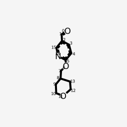 O=Cc1ccc(OCC2CCOCC2)nc1